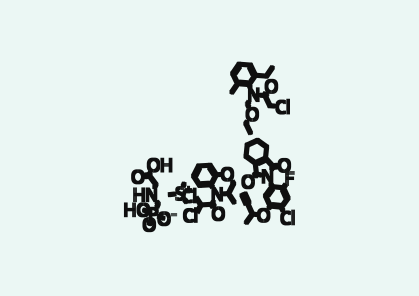 C#CC(C)Oc1cc(N2C(=O)C3=C(CCCC3)C2=O)c(F)cc1Cl.CC1COc2ccccc2N1C(=O)C(Cl)Cl.CCOCN(C(=O)CCl)c1c(C)cccc1CC.C[S+](C)C.O=C(O)CNCP(=O)([O-])O